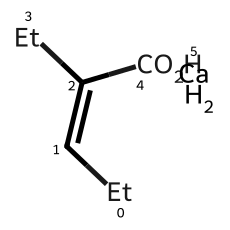 CCC=C(CC)C(=O)O.[CaH2]